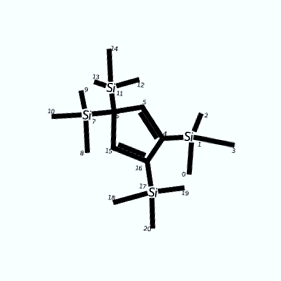 C[Si](C)(C)C1=CC([Si](C)(C)C)([Si](C)(C)C)C=C1[Si](C)(C)C